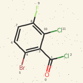 O=C(Cl)c1c(Br)ccc(F)c1Cl